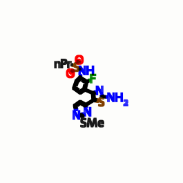 CCCS(=O)(=O)Nc1cccc(-c2nc(N)sc2-c2ccnc(SC)n2)c1F